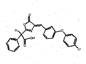 O=C1OC(C(Cl)(C(=O)O)c2ccccc2)=NC1=Cc1cccc(Oc2ccc(Cl)cc2)c1